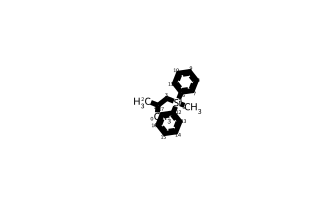 CC(C)C[Si](C)(c1ccccc1)c1ccccc1